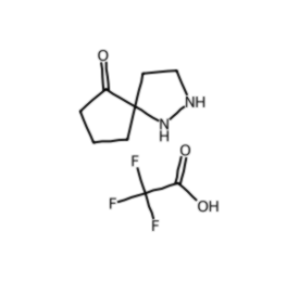 O=C(O)C(F)(F)F.O=C1CCCC12CCNN2